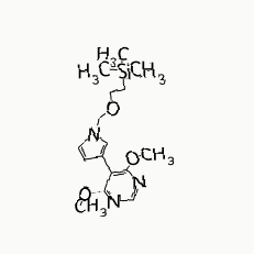 COc1ncnc(OC)c1-c1ccn(COCC[Si](C)(C)C)c1